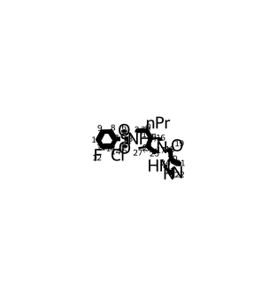 CCC[C@@H](CNS(=O)(=O)c1cccc(F)c1Cl)[C@H]1CN(C(=O)c2cnn[nH]2)C[C@H]1C